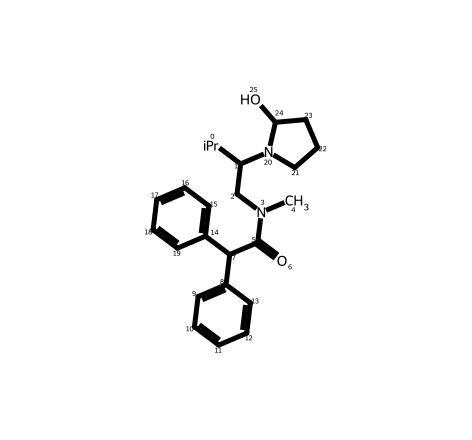 CC(C)C(CN(C)C(=O)C(c1ccccc1)c1ccccc1)N1CCCC1O